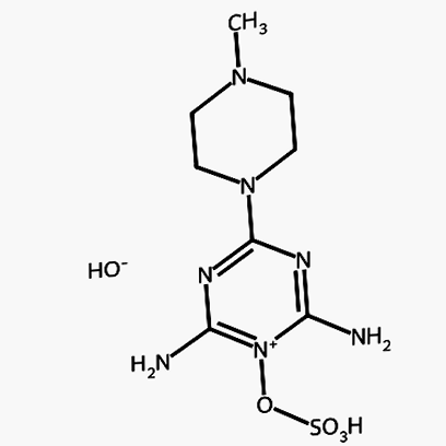 CN1CCN(c2nc(N)[n+](OS(=O)(=O)O)c(N)n2)CC1.[OH-]